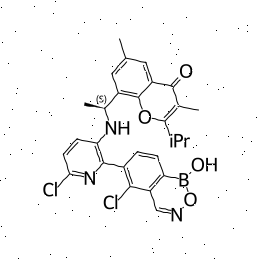 Cc1cc([C@H](C)Nc2ccc(Cl)nc2-c2ccc3c(c2Cl)C=NOB3O)c2oc(C(C)C)c(C)c(=O)c2c1